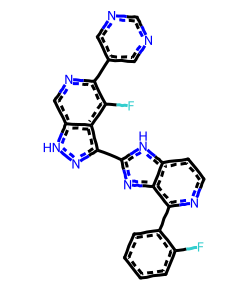 Fc1ccccc1-c1nccc2[nH]c(-c3n[nH]c4cnc(-c5cncnc5)c(F)c34)nc12